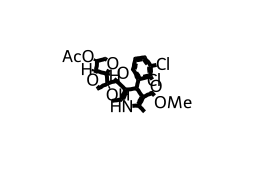 COC(=O)C1=C(C)NC(C)=C(C(=O)[C@@]2(O)CO[C@@H]3[C@@H](OC(C)=O)CO[C@@H]32)C1c1cccc(Cl)c1Cl